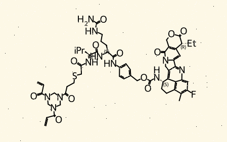 C=CC(=O)N1CN(C(=O)C=C)CN(C(=O)CCSCC(=O)N[C@H](C(=O)N[C@@H](CCCNC(N)=O)C(=O)Nc2ccc(COC(=O)N[C@H]3CCc4c(C)c(F)cc5nc6c(c3c45)Cn3c-6cc4c(c3=O)COC(=O)[C@@H]4CC)cc2)C(C)C)C1